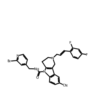 N#Cc1ccc2c(c1)c1c(n2C(=O)NCc2ccnc(Br)c2)CCN(CC=Cc2ccc(F)cc2F)C1